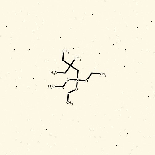 CCO[Si](CC(C)(CC)CC)(OCC)OCC